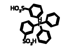 O=S(=O)(O)c1cccc([PH](c2ccccc2)(c2ccccc2)c2cccc(S(=O)(=O)O)c2)c1